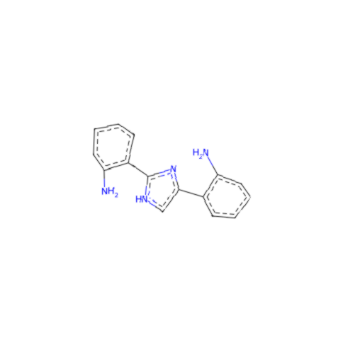 Nc1ccccc1-c1c[nH]c(-c2ccccc2N)n1